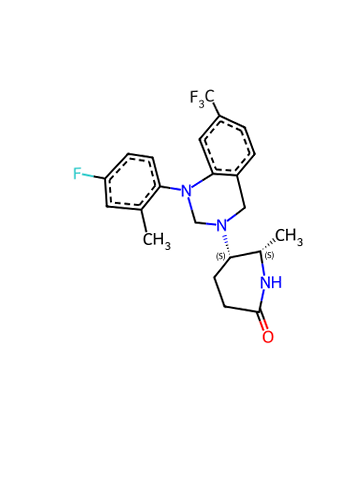 Cc1cc(F)ccc1N1CN([C@H]2CCC(=O)N[C@H]2C)Cc2ccc(C(F)(F)F)cc21